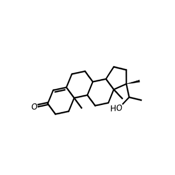 CC(O)[C@@]1(C)CCC2C3CCC4=CC(=O)CCC4(C)C3CCC21C